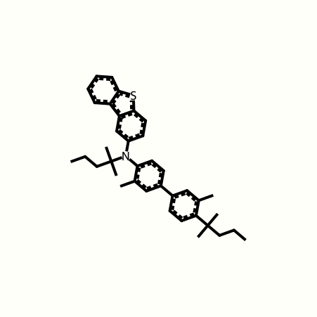 CCCC(C)(C)c1ccc(-c2ccc(N(c3ccc4sc5ccccc5c4c3)C(C)(C)CCC)c(C)c2)cc1C